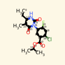 CCc1[nH]c(=O)n(-c2cc(C(=O)OC(C)C)c(Cl)cc2F)c(=O)c1C